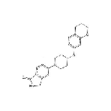 Cc1cc2c(nc1N1CCC(Oc3ccc4c(c3)OCCC4)CC1)CNC2=O